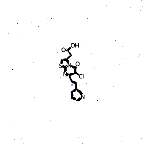 O=C(O)Cc1csc2nc(/C=C/c3cccnc3)c(Cl)c(=O)n12